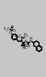 CN(C)C(Cc1ccc(OS(=O)(=O)C(F)(F)F)cc1)C1(NC(=NC#N)NC2CCc3ccccc3C2)CC1